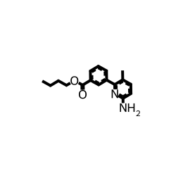 CCCCOC(=O)c1cccc(-c2nc(N)ccc2C)c1